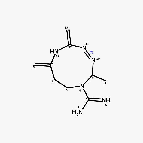 C=C1CCN(C(=N)N)C(C)/N=N\C(=C)N1